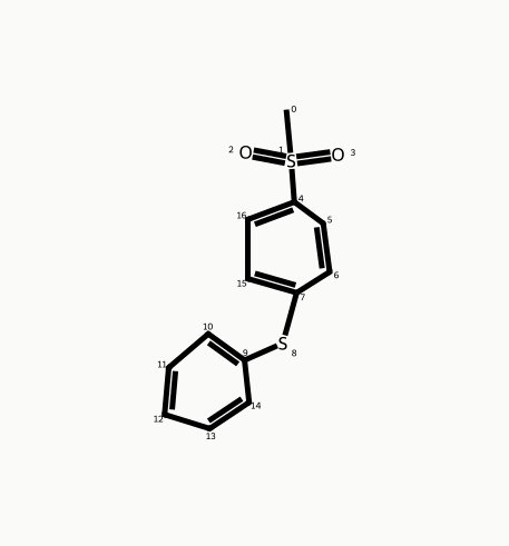 CS(=O)(=O)c1ccc(Sc2ccccc2)cc1